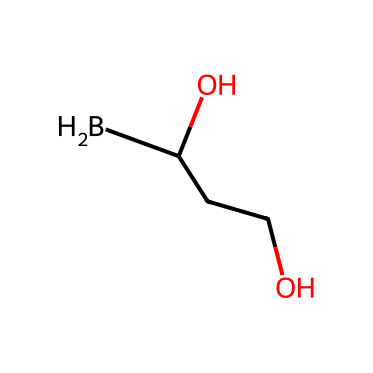 BC(O)CCO